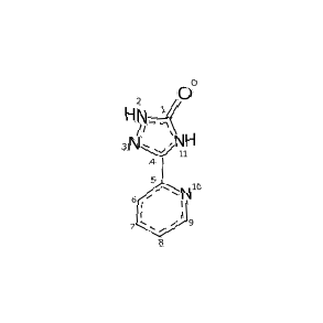 O=c1[nH]nc(-c2ccccn2)[nH]1